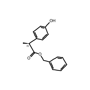 C[C@H](C(=O)OCc1ccccc1)c1ccc(O)cc1